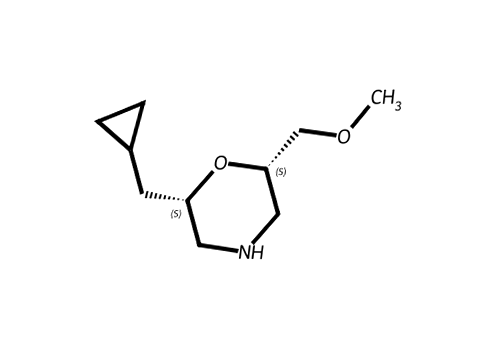 COC[C@@H]1CNC[C@H](CC2CC2)O1